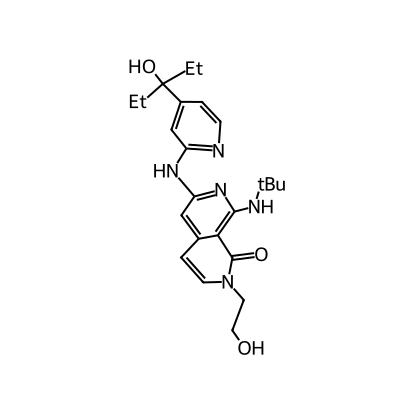 CCC(O)(CC)c1ccnc(Nc2cc3ccn(CCO)c(=O)c3c(NC(C)(C)C)n2)c1